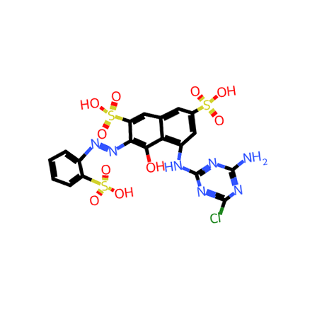 Nc1nc(Cl)nc(Nc2cc(S(=O)(=O)O)cc3cc(S(=O)(=O)O)c(N=Nc4ccccc4S(=O)(=O)O)c(O)c23)n1